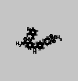 CS(=O)(=O)N1CCN(c2ccc(Nc3cc(NCc4cccc(F)c4F)c(C(N)=O)cn3)cc2)CC1